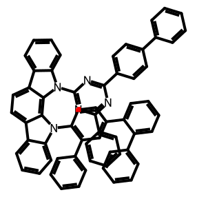 c1ccc(-c2ccc(-c3nc(-c4ccccc4)nc(-n4c5ccccc5c5ccc6c7ccccc7n(-c7ccc(-c8ccccc8-c8ccccc8)cc7-c7ccccc7)c6c54)n3)cc2)cc1